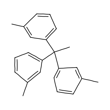 Cc1cccc(C(C)(c2cccc(C)c2)c2cccc(C)c2)c1